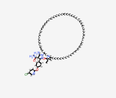 C=CC(=O)N1C[C@@H](n2nc(-c3ccc(Oc4ccc(Cl)cn4)cc3)c(C(N)=O)c2N)CCCCCCCCCCCCCCCCCCCCCCCCCCCCCCCCCCCCCCCCCCCCCCCCC12CC2